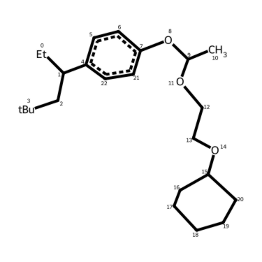 CCC(CC(C)(C)C)c1ccc(OC(C)OCCOC2CCCCC2)cc1